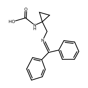 O=C(O)NC1(CN=C(c2ccccc2)c2ccccc2)CC1